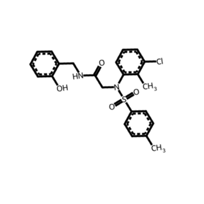 Cc1ccc(S(=O)(=O)N(CC(=O)NCc2ccccc2O)c2cccc(Cl)c2C)cc1